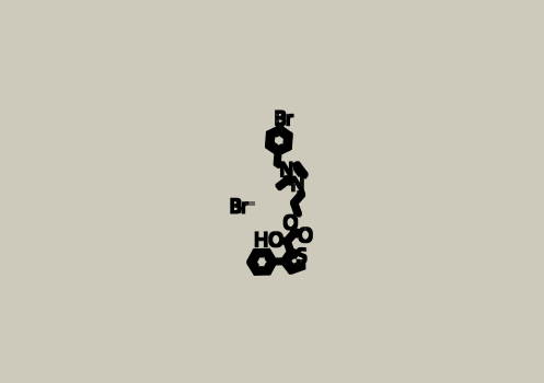 Cc1n(CCCOC(=O)C(O)c2sccc2-c2ccccc2)cc[n+]1Cc1ccc(Br)cc1.[Br-]